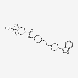 CC(C)(C)[C@H]1CC[C@H](C(=O)NC2CCC(CCN3CCC(c4coc5ccccc45)CC3)CC2)CC1